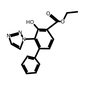 CCOC(=O)c1ccc(-c2ccccc2)c(-n2ccnn2)c1O